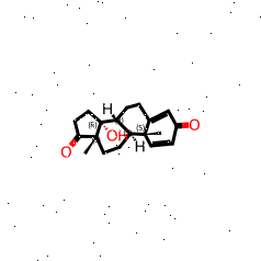 C[C@]12C=CC(=O)C=C1CC[C@@H]1[C@@H]2CC[C@]2(C)C(=O)CC[C@@]12O